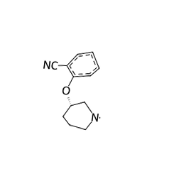 N#Cc1ccccc1O[C@H]1CCC[N]C1